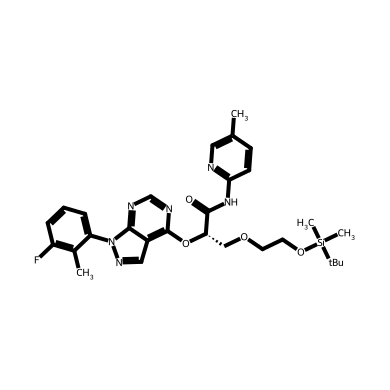 Cc1ccc(NC(=O)[C@H](COCCO[Si](C)(C)C(C)(C)C)Oc2ncnc3c2cnn3-c2cccc(F)c2C)nc1